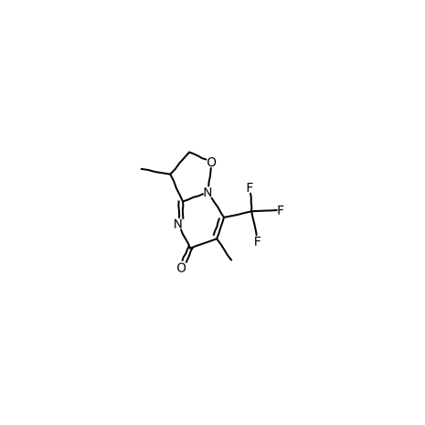 Cc1c(C(F)(F)F)n2c(nc1=O)C(C)CO2